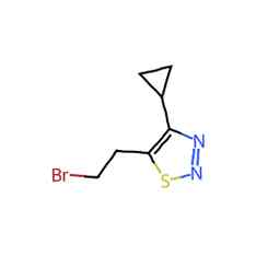 BrCCc1snnc1C1CC1